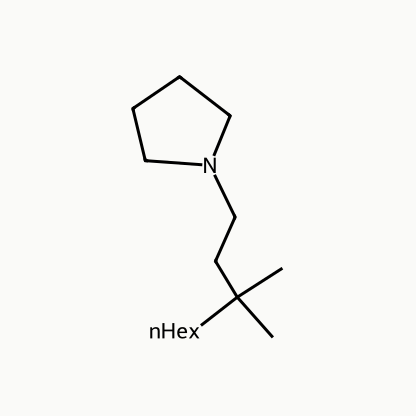 CCCCCCC(C)(C)CCN1CCCC1